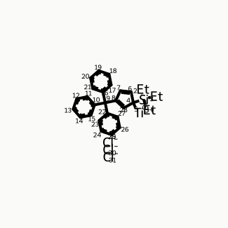 CC[Si](CC)(CC)[C]1([Ti+3])C=CC(C(c2ccccc2)(c2ccccc2)c2ccccc2)=C1.[Cl-].[Cl-].[Cl-]